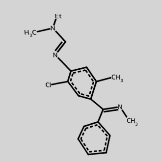 CCN(C)C=Nc1cc(C)c(C(=NC)c2ccccc2)cc1Cl